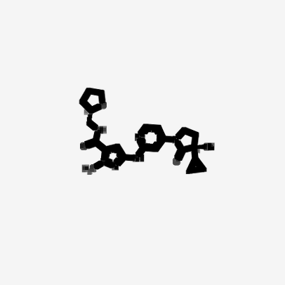 Cn1nc(Nc2cc(N3CC[C@@](C#N)(C4CC4)C3=O)ccn2)cc1C(=O)NC[C@@H]1CCCO1